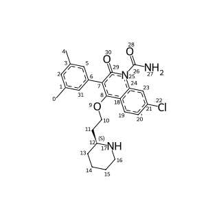 Cc1cc(C)cc(-c2c(OCC[C@@H]3CCCCN3)c3c[c]c(Cl)cc3n(C(N)=O)c2=O)c1